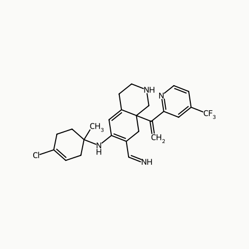 C=C(c1cc(C(F)(F)F)ccn1)C12CNCCC1=CC(NC1(C)CC=C(Cl)CC1)=C(C=N)C2